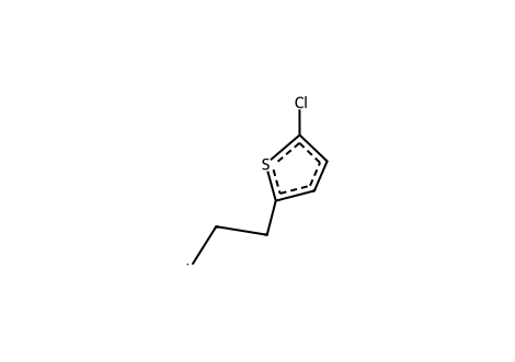 [CH2]CCc1ccc(Cl)s1